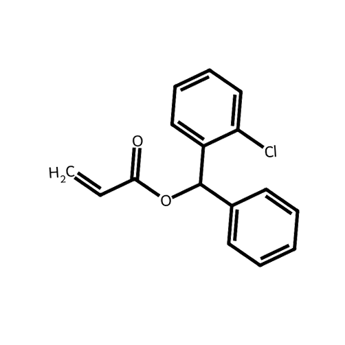 C=CC(=O)OC(c1ccccc1)c1ccccc1Cl